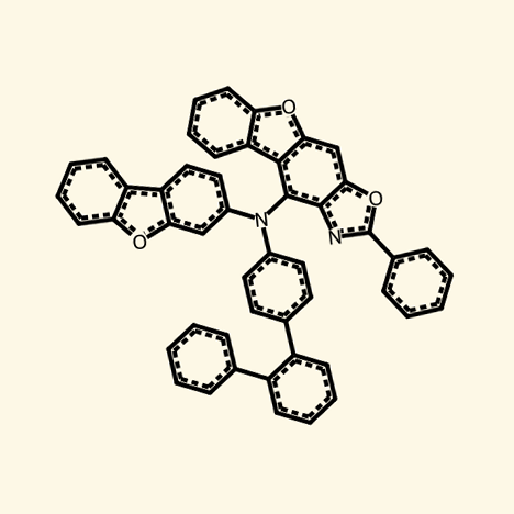 c1ccc(-c2nc3c(N(c4ccc(-c5ccccc5-c5ccccc5)cc4)c4ccc5c(c4)oc4ccccc45)c4c(cc3o2)oc2ccccc24)cc1